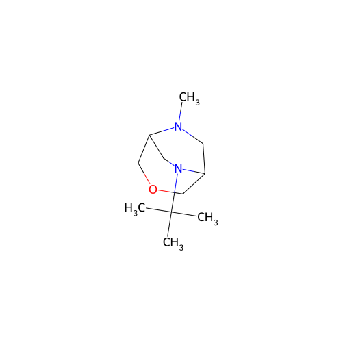 CN1CC2COCC1CN2C(C)(C)C